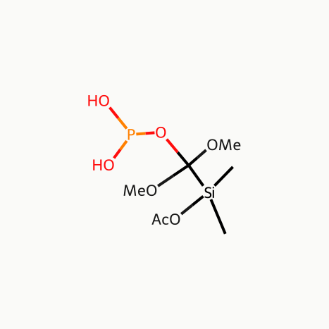 COC(OC)(OP(O)O)[Si](C)(C)OC(C)=O